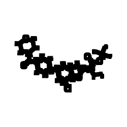 CCN(C(=O)OC(C)(C)C)c1cc2cc(-c3ccc(C(=O)N4CCOCC4)cc3)cc(Cl)c2o1